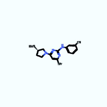 CCCc1cc(N2CC[C@H](NC)C2)nc(Nc2cccc(C#N)c2)n1